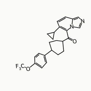 O=C(c1c(C2CC2)ccc2cncn12)C1CCC(c2ccc(OC(F)(F)F)cc2)CC1